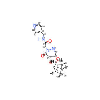 C[C@H]1[C@H]2C[C@H](C[C@H]1Oc1cnn(CC(=O)NCc3ccncc3)c(=O)c1Br)C2(C)C